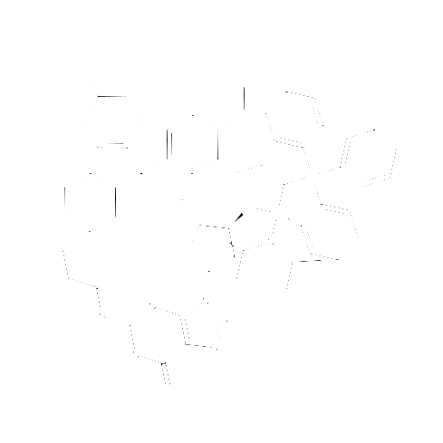 CC=C([Si](c1ccccc1)(c1ccccc1)c1ccccc1)[PH](O)(O[C@H]1C[C@H](n2cnc3c(=O)[nH]c(NC(=O)C(C)C)nc32)O[C@@H]1COC(c1ccccc1)(c1ccc(OC)cc1)c1ccc(OC)cc1)N(C(C)C)C(C)C